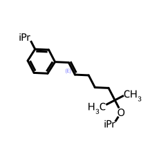 CC(C)OC(C)(C)CCC/C=C/c1cccc(C(C)C)c1